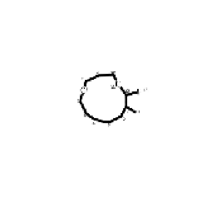 CC1CCCCCCCCCCC1F